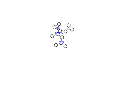 c1ccc(-c2cc(-c3ccccc3)nc(-c3ccc(-n4c5ccc(-n6c7ccccc7c7ccccc76)cc5c5cc(-n6c7ccccc7c7ccccc76)ccc54)c(-c4cc(-c5ccccc5)nc(-c5ccccc5)n4)c3)n2)cc1